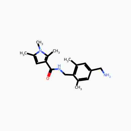 Cc1cc(CN)cc(C)c1CNC(=O)c1cc(C)n(C)c1C